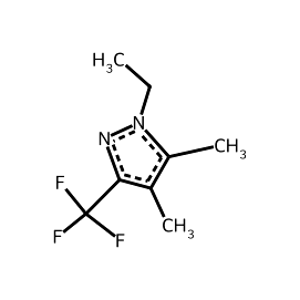 CCn1nc(C(F)(F)F)c(C)c1C